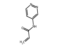 C=CC(=O)Nc1ccnnc1